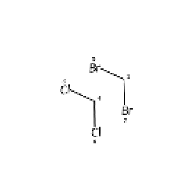 BrCBr.ClCCl